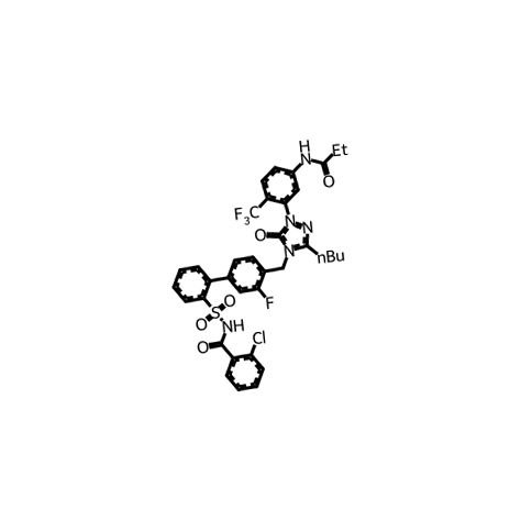 CCCCc1nn(-c2cc(NC(=O)CC)ccc2C(F)(F)F)c(=O)n1Cc1ccc(-c2ccccc2S(=O)(=O)NC(=O)c2ccccc2Cl)cc1F